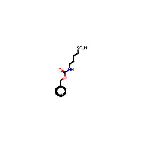 O=C(NCCCCS(=O)(=O)O)OCc1ccccc1